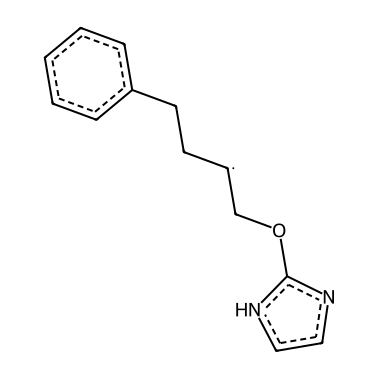 [CH](CCc1ccccc1)COc1ncc[nH]1